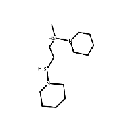 C[SiH](CC[SiH2]N1CCCCC1)N1CCCCC1